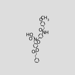 COc1ccc(CC(=O)Nc2ccc(C(=O)N(CC(=O)O)Cc3ccc(OC(=O)CCc4ccccc4)cc3)cc2)cc1